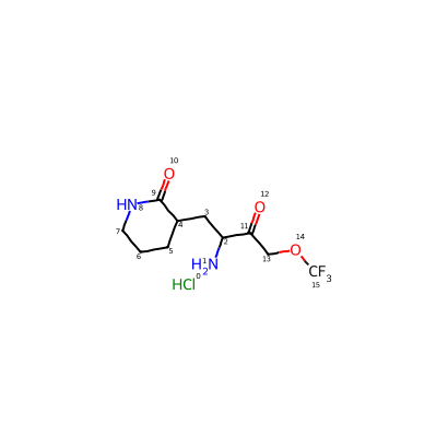 Cl.NC(CC1CCCNC1=O)C(=O)COC(F)(F)F